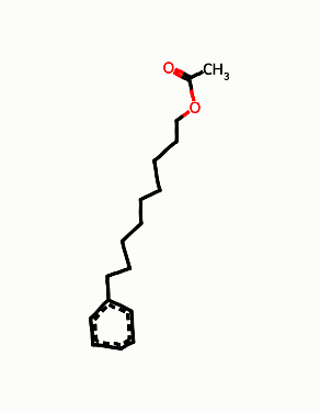 CC(=O)OCCCCCCCCCc1ccccc1